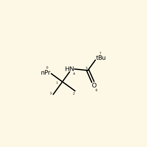 CCCC(C)(C)NC(=O)C(C)(C)C